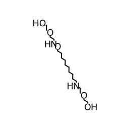 OCCOCCNCCCCCCCCCCONCCOCCO